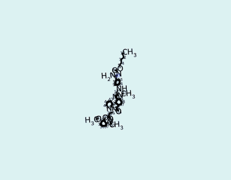 CCCCCCOC(=O)/N=C(\N)c1ccc(NCc2nc3cc(C(=O)N(CCC(=O)Oc4c(OC)cccc4OC)c4ccccn4)ccc3n2C)cc1